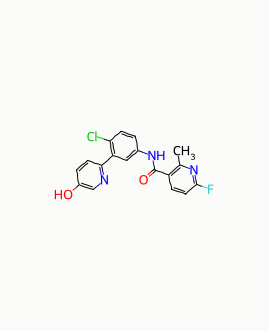 Cc1nc(F)ccc1C(=O)Nc1ccc(Cl)c(-c2ccc(O)cn2)c1